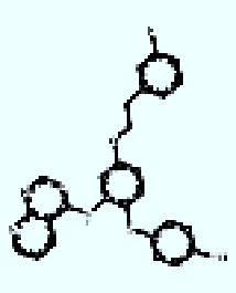 Oc1ccc(Sc2ccc(OCCc3cccc(F)c3)cc2Nc2ncnc3ncccc23)cc1